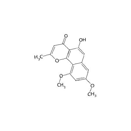 COc1cc(OC)c2c(c1)cc(O)c1c(=O)cc(C)oc12